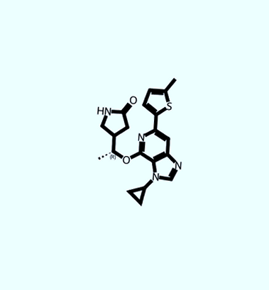 Cc1ccc(-c2cc3ncn(C4CC4)c3c(O[C@H](C)C3CNC(=O)C3)n2)s1